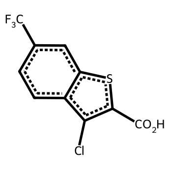 O=C(O)c1sc2cc(C(F)(F)F)ccc2c1Cl